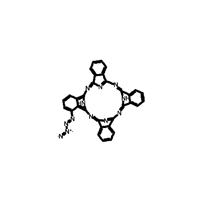 [N]=[N+]N=Nc1cccc2c3nc4nc(nc5[nH]c(nc6nc(nc([nH]3)c12)-c1ccccc1-6)c1ccccc51)-c1ccccc1-4